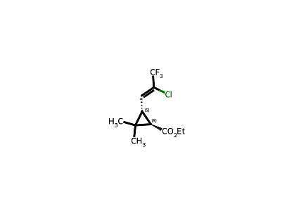 CCOC(=O)[C@@H]1[C@@H](C=C(Cl)C(F)(F)F)C1(C)C